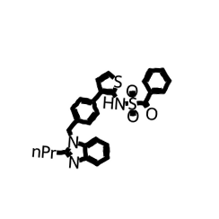 CCCc1nc2ccccc2n1Cc1ccc(-c2ccsc2NS(=O)(=O)C(=O)c2ccccc2)cc1